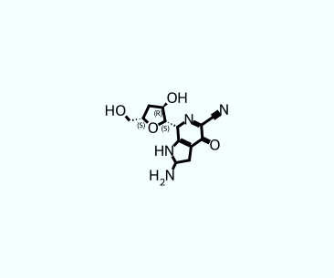 N#CC1=NC([C@@H]2O[C@H](CO)C[C@H]2O)C2=C(CC(N)N2)C1=O